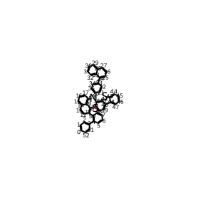 c1ccc(-c2cccc3sc4c(ccc5cccc(N(c6ccc(-c7cccc8ccccc78)cc6)c6cccc7c6sc6ccccc67)c54)c23)cc1